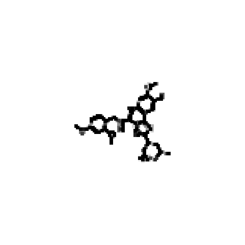 COc1ccc(CNc2nc3cc(OC)c(F)cc3c3nc(C4CNCC(C)C4)nn23)c(OC)c1